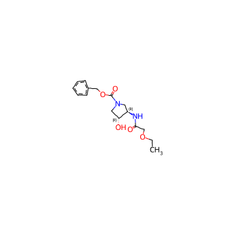 CCOCC(=O)N[C@@H]1CN(C(=O)OCc2ccccc2)C[C@H]1O